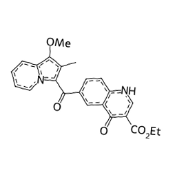 CCOC(=O)c1c[nH]c2ccc(C(=O)c3c(C)c(OC)c4ccccn34)cc2c1=O